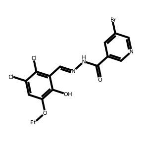 CCOc1cc(Cl)c(Cl)c(C=NNC(=O)c2cncc(Br)c2)c1O